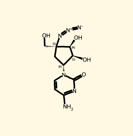 [N-]=[N+]=N[C@]1(CO)C[C@@H](n2ccc(N)nc2=O)[C@H](O)[C@@H]1O